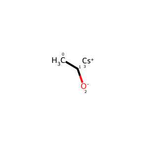 CC[O-].[Cs+]